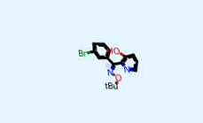 CC(C)(C)O/N=C(/c1cccc(Br)c1)c1ncccc1O